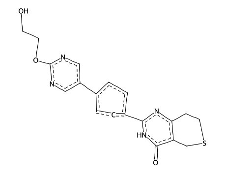 O=c1[nH]c(-c2ccc(-c3cnc(OCCO)nc3)cc2)nc2c1CSCC2